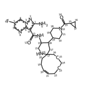 Nc1nn2cc(F)cnc2c1C(=O)NC1CNC2(CC/C=C\CCCCC2)CC1C1CCN(C(=O)C2CC2)CC1